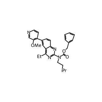 CCc1nc(N(CCC(C)C)C(=O)OCc2ccccc2)nc2ccc(-c3ccncc3OC)cc12